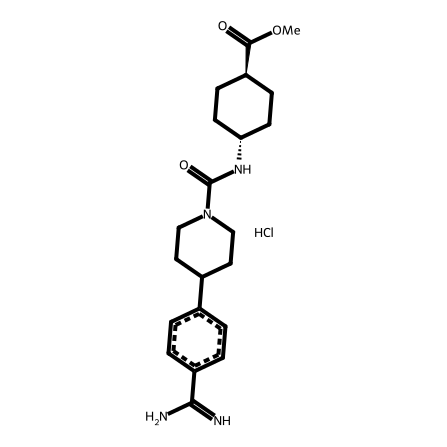 COC(=O)[C@H]1CC[C@H](NC(=O)N2CCC(c3ccc(C(=N)N)cc3)CC2)CC1.Cl